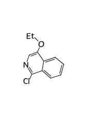 CCOc1cnc(Cl)c2ccccc12